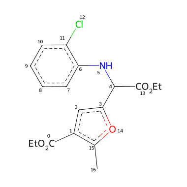 CCOC(=O)c1cc(C(Nc2ccccc2Cl)C(=O)OCC)oc1C